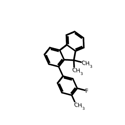 Cc1ccc(-c2cccc3c2C(C)(C)c2ccccc2-3)cc1F